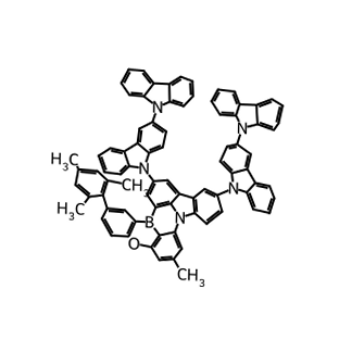 Cc1cc(C)c(-c2ccc3c(c2)B2c4c(cc(C)cc4-n4c5ccc(-n6c7ccccc7c7cc(-n8c9ccccc9c9ccccc98)ccc76)cc5c5cc(-n6c7ccccc7c7cc(-n8c9ccccc9c9ccccc98)ccc76)cc2c54)O3)c(C)c1